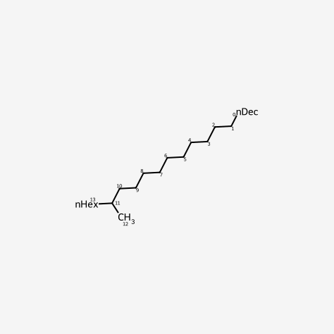 CCCCCCCCCCCCCCCCCCCCC(C)CCCCCC